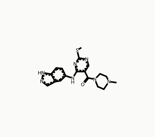 CSc1ncc(C(=O)N2CCN(C)CC2)c(Nc2ccc3[nH]ncc3c2)n1